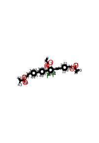 C=CC(=O)Oc1cc(C#Cc2ccc(COC(=O)C(=C)C)cc2)c(F)c(F)c1-c1ccc(-c2ccc(/C=C/OC(=O)C(=C)C)cc2)cc1